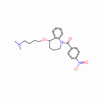 CN(C)CCCCOC1CCCN(C(=O)c2ccc([N+](=O)[O-])cc2)c2ccccc21